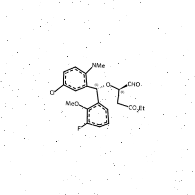 CCOC(=O)C[C@H](C=O)O[C@@H](c1cc(Cl)ccc1NC)c1cccc(F)c1OC